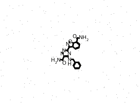 NC(=O)C1=CC=CC2C(c3nnc(C(N)=O)c(NCc4ccccc4)n3)=NOC12